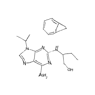 CCC(CO)Nc1nc([AsH2])c2ncn(C(C)C)c2n1.c1ccc2c(c1)C2